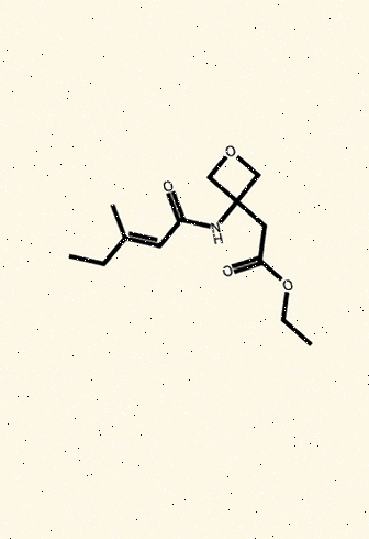 CCOC(=O)CC1(NC(=O)/C=C(\C)CC)COC1